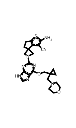 N#Cc1c(N)sc2c1C1(CC2)CN(c2nc(OCC3(CN4CCOCC4)CC3)c3nc[nH]c3n2)C1